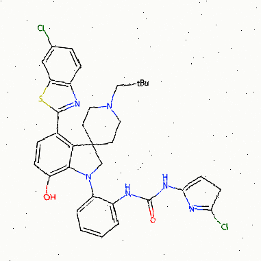 CC(C)(C)CN1CCC2(CC1)CN(c1ccccc1NC(=O)NC1=CCC(Cl)=N1)c1c(O)ccc(-c3nc4ccc(Cl)cc4s3)c12